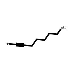 CCCCCCCCCC#C[P]